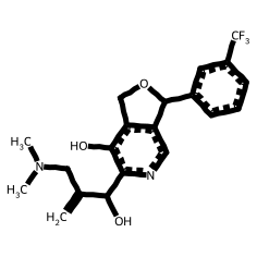 C=C(CN(C)C)C(O)c1ncc2c(c1O)COC2c1cccc(C(F)(F)F)c1